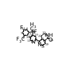 C[C@](F)(c1cc(F)cc(C(F)(F)F)c1)c1ccnc(-c2nccc3c2CCNC3=O)c1